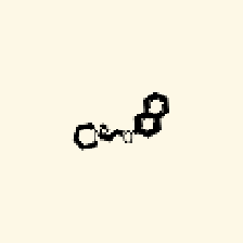 C[N+]1(CCOc2ccc3ccccc3c2)CCCCC1